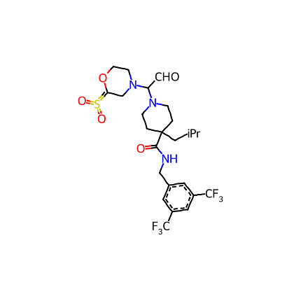 CC(C)CC1(C(=O)NCc2cc(C(F)(F)F)cc(C(F)(F)F)c2)CCN(C(C=O)N2CCOC(=S(=O)=O)C2)CC1